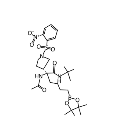 CC(=O)NC(CCCCB1OC(C)(C)C(C)(C)O1)(C(=O)NC(C)(C)C)[C@@H]1CCN(S(=O)(=O)c2ccccc2[N+](=O)[O-])C1